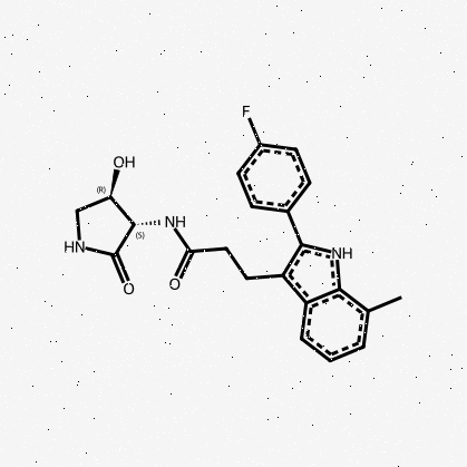 Cc1cccc2c(CCC(=O)N[C@@H]3C(=O)NC[C@H]3O)c(-c3ccc(F)cc3)[nH]c12